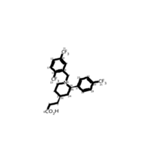 O=C(O)CC[C@H]1CCN(Cc2cc(C(F)(F)F)ccc2C(F)(F)F)[C@@H](c2ccc(C(F)(F)F)cc2)C1